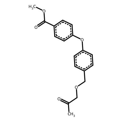 COC(=O)c1ccc(Oc2ccc(COCC(C)=O)cc2)cc1